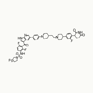 O=C1CCC(c2ccc(C3CCN(CCC4CCN(c5ccc(-c6cnc7[nH]cc(C(=O)c8c(F)ccc(NS(=O)(=O)N9CC[C@@H](F)C9)c8F)c7c6)cc5)CC4)CC3)cc2F)C(=O)N1